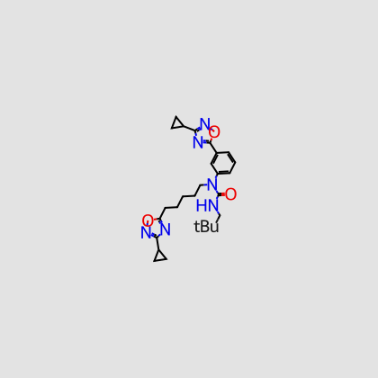 CC(C)(C)CNC(=O)N(CCCCCc1nc(C2CC2)no1)c1cccc(-c2nc(C3CC3)no2)c1